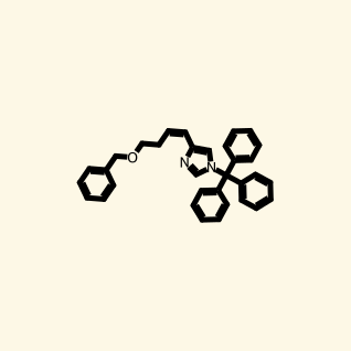 C(=C/c1cn(C(c2ccccc2)(c2ccccc2)c2ccccc2)cn1)/CCOCc1ccccc1